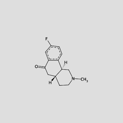 CN1CC[C@@H]2CC(=O)c3cc(F)ccc3[C@H]2C1